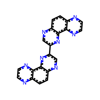 c1cnc2c(ccc3ncc(-c4cnc5ccc6nccnc6c5n4)nc32)n1